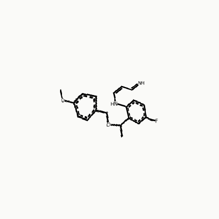 COc1ccc(COC(C)c2cc(F)ccc2N/C=C\C=N)cc1